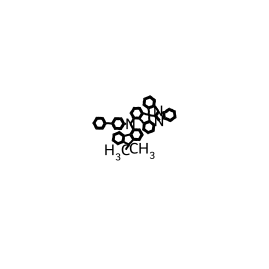 CC1(C)c2ccccc2-c2c(N(c3ccc(-c4ccccc4)cc3)c3cccc4c3-c3ccccc3C43c4ccccc4-n4c3nc3ccccc34)cccc21